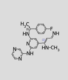 CN/C(=C\C=N)c1cc(Nc2cnccn2)nc(N[C@@H](C)c2ccc(F)cc2)c1